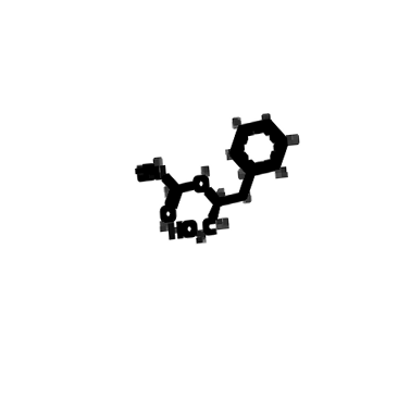 CC(C)(C)C(=O)O[C@@H](Cc1ccccc1)C(=O)O